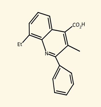 CCc1cccc2c(C(=O)O)c(C)c(-c3ccccc3)nc12